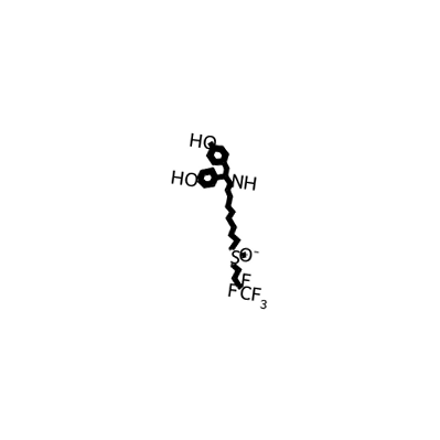 N=C(CCCCCCCCC[S+]([O-])CCCC(F)(F)C(F)(F)F)C(Cc1ccc(O)cc1)c1ccc(O)cc1